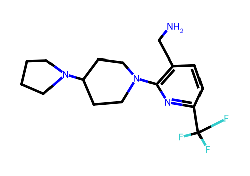 NCc1ccc(C(F)(F)F)nc1N1CCC(N2CCCC2)CC1